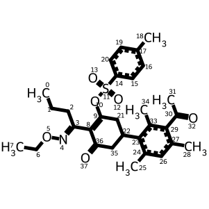 CCCC(=NOCC)C1=C(OS(=O)(=O)c2ccc(C)cc2)CC(c2c(C)cc(C)c(C(C)=O)c2C)CC1=O